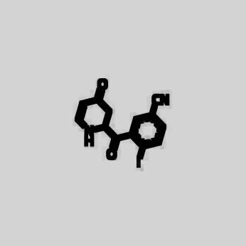 N#Cc1ccc(I)c(C(=O)C2CC(=O)C=CN2)c1